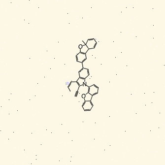 C#Cc1c(/C=C\C)c2cc(-c3ccc4c(c3)C3C=CC=CC3(C)O4)ccc2n1-c1cccc2c1oc1ccccc12